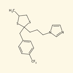 CC1CSC(CCCn2ccnc2)(Cc2ccc(C(F)(F)F)cc2)S1